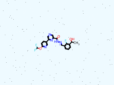 CC(O)c1cccc(/C=N/NC(=O)c2cncc(-c3ccc(OC(F)F)nc3)n2)c1F